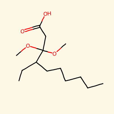 CCCCCCC(CC)C(CC(=O)O)(OC)OC